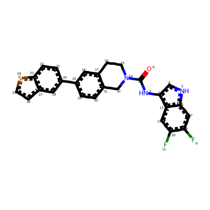 O=C(Nc1c[nH]c2cc(F)c(F)cc12)N1CCc2cc(-c3ccc4sccc4c3)ccc2C1